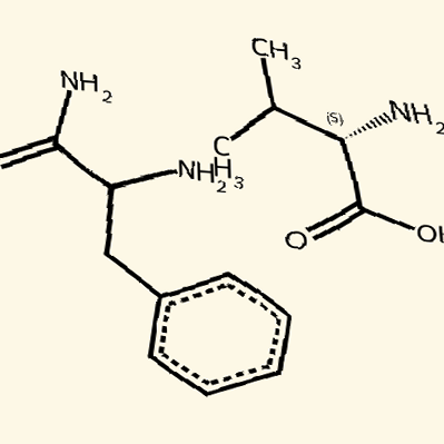 CC(C)[C@H](N)C(=O)O.NC(=O)C(N)Cc1ccccc1